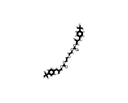 C/C(=C/OC(=O)OCCOCCOC(=O)O/C=C(\C)Cc1ccc(C(C)(C)C)cc1)Cc1ccc(C(C)(C)C)cc1